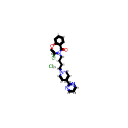 O=C1c2ccccc2OC=C(Cl)N1CCCC=[N+]1C=CC(c2ncccn2)=CC1.[Cl-]